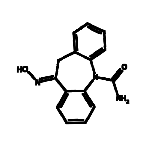 NC(=O)N1c2ccccc2C/C(=N\O)c2ccccc21